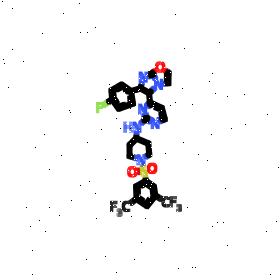 O=S(=O)(c1cc(C(F)(F)F)cc(C(F)(F)F)c1)N1CCC(Nc2nccc(C3C(c4ccc(F)cc4)N=C4OC=CN43)n2)CC1